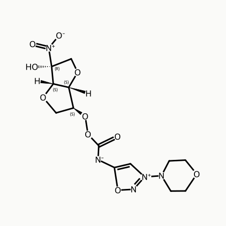 O=C([N-]c1c[n+](N2CCOCC2)no1)OO[C@H]1CO[C@H]2[C@@H]1OC[C@]2(O)[N+](=O)[O-]